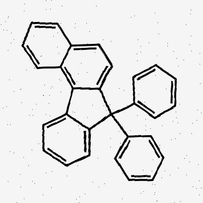 [c]1cccc2ccc3c(c12)-c1ccccc1C3(c1ccccc1)c1ccccc1